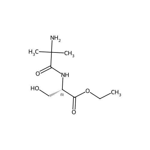 CCOC(=O)[C@H](CO)NC(=O)C(C)(C)N